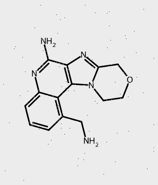 NCc1cccc2nc(N)c3nc4n(c3c12)CCOC4